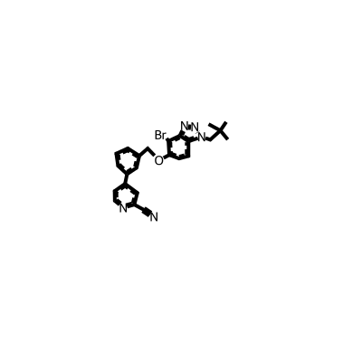 CC(C)(C)Cn1nnc2c(Br)c(OCc3cccc(-c4ccnc(C#N)c4)c3)ccc21